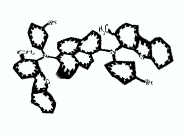 Cc1ccc2c(oc3ccccc32)c1N(c1cccc(C(C)C)c1)c1ccc2ccc3c(N(c4cccc(C(C)C)c4)c4c(C)ccc5c4oc4ccccc45)ccc4ccc1c2c43